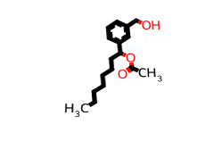 CCCCCCCC(OC(C)=O)c1cccc(CO)c1